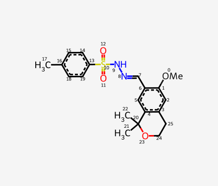 COc1cc2c(cc1C=NNS(=O)(=O)c1ccc(C)cc1)C(C)(C)OCC2